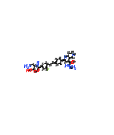 NCC(NC(=O)c1ccc(C#Cc2ccc(-c3cc(C(=O)NN)c4cnccc4n3)cc2)c(F)c1)C(=O)O